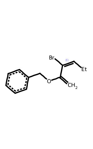 C=C(OCc1ccccc1)/C(Br)=C\CC